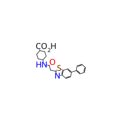 O=C(Cc1nc2ccc(-c3ccccc3)cc2s1)NC1CCC(C(=O)O)CC1